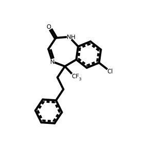 O=C1C=NC(CCc2ccccc2)(C(F)(F)F)c2cc(Cl)ccc2N1